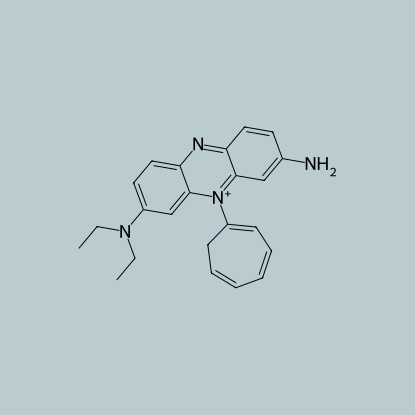 CCN(CC)c1ccc2nc3ccc(N)cc3[n+](C3=CC=CC=CC3)c2c1